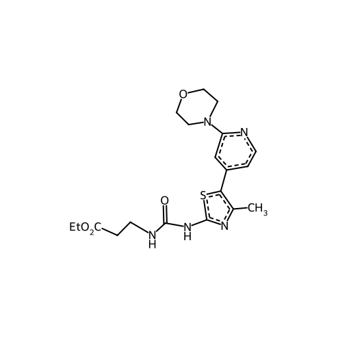 CCOC(=O)CCNC(=O)Nc1nc(C)c(-c2ccnc(N3CCOCC3)c2)s1